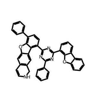 C1=Cc2cc3oc4c(-c5ccccc5)ccc(-c5nc(-c6ccccc6)nc(-c6cccc7c6oc6ccccc67)n5)c4c3cc2CN1